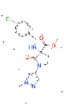 COC(=O)C1(NCc2ccc(Cl)cc2)CCN(c2cnn(C)c2)C1=O